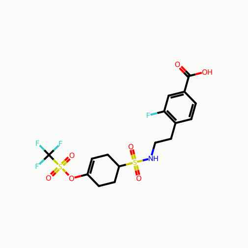 O=C(O)c1ccc(CCNS(=O)(=O)C2CC=C(OS(=O)(=O)C(F)(F)F)CC2)c(F)c1